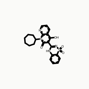 O=c1c(C2=NS(=O)(=O)c3ccccc3N2)c(O)c2cccnc2n1C1CCCCCC1